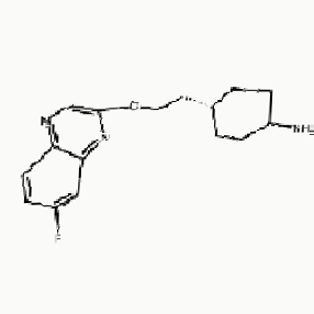 N[C@H]1CC[C@H](CCOc2cnc3ccc(F)cc3n2)CC1